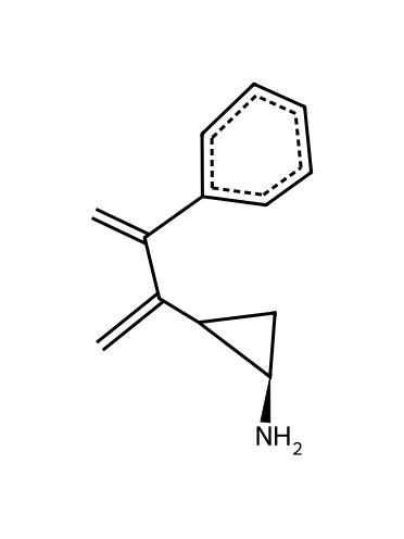 C=C(C(=C)C1C[C@H]1N)c1ccccc1